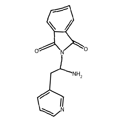 NC(Cc1cccnc1)N1C(=O)c2ccccc2C1=O